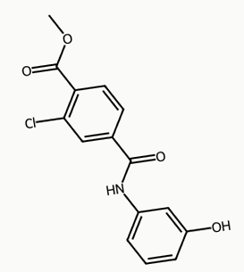 COC(=O)c1ccc(C(=O)Nc2cccc(O)c2)cc1Cl